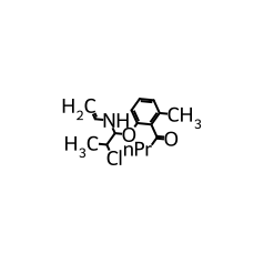 C=CNC(Oc1cccc(C)c1C(=O)CCC)C(C)Cl